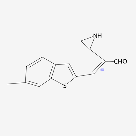 Cc1ccc2cc(/C=C(/C=O)C3CN3)sc2c1